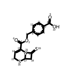 O=C(OCc1ccc(C(=O)O)cc1)C1=CCSC2CC(=S)N12